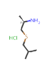 CC(C)CSC[C@@H](C)N.Cl